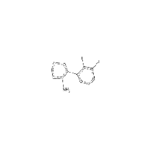 Nc1ccccc1-c1cccc(I)c1I